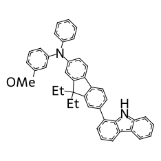 CCC1(CC)c2cc(-c3cccc4c3[nH]c3ccccc34)ccc2-c2ccc(N(c3ccccc3)c3cccc(OC)c3)cc21